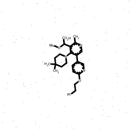 Cc1ncc(-c2ccc(OCCC(C)C)nc2)c(N2CCC(C)(C)CC2)c1C(OC(C)(C)C)C(=O)O